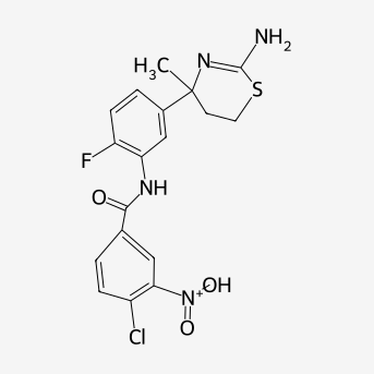 CC1(c2ccc(F)c(NC(=O)c3ccc(Cl)c([N+](=O)O)c3)c2)CCSC(N)=N1